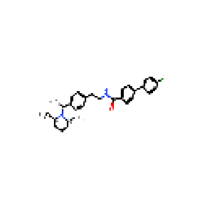 CC(c1ccc(CCNC(=O)c2ccc(-c3ccc(Cl)cc3)cc2)cc1)N1[C@H](C)CCC[C@@H]1C